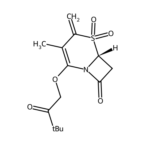 C=C1C(C)=C(OCC(=O)C(C)(C)C)N2C(=O)C[C@H]2S1(=O)=O